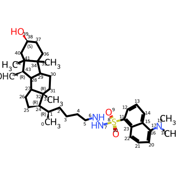 C[C@H](CCCCNNS(=O)(=O)c1cccc2c(N(C)C)cccc12)[C@H]1CCC2C3C(CC[C@@]21C)C1(C)CC[C@H](O)CC1(C)[C@@H]3C=O